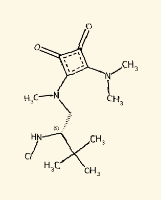 CN(C)c1c(N(C)C[C@@H](NCl)C(C)(C)C)c(=O)c1=O